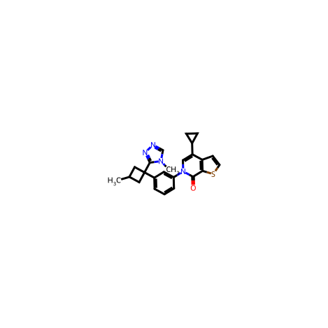 CC1CC(c2cccc(-n3cc(C4CC4)c4ccsc4c3=O)c2)(c2nncn2C)C1